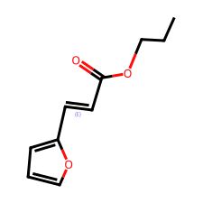 CCCOC(=O)/C=C/c1ccco1